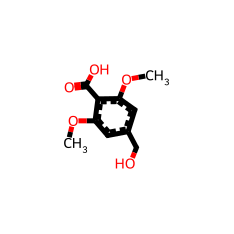 COc1cc(CO)cc(OC)c1C(=O)O